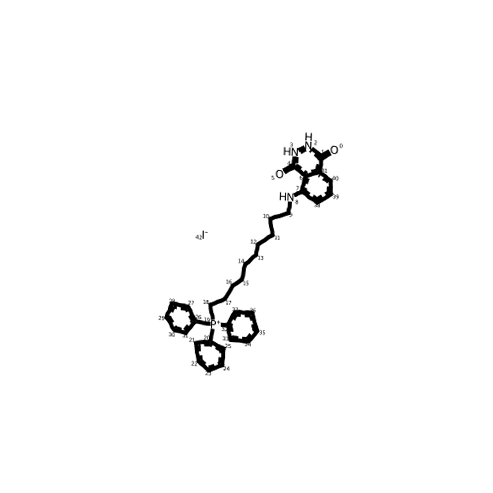 O=c1[nH][nH]c(=O)c2c(NCCCCCCCCCC[P+](c3ccccc3)(c3ccccc3)c3ccccc3)cccc12.[I-]